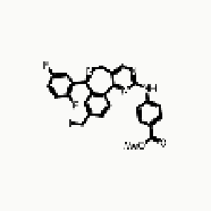 COC(=O)c1ccc(Nc2ncc3c(n2)-c2ccc(CI)cc2C(c2cc(F)ccc2F)=NC3)cc1